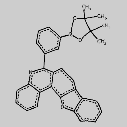 CC1(C)OB(c2cccc(-c3nc4ccccc4c4c3ccc3c5ccccc5oc34)c2)OC1(C)C